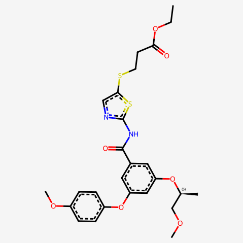 CCOC(=O)CCSc1cnc(NC(=O)c2cc(Oc3ccc(OC)cc3)cc(O[C@@H](C)COC)c2)s1